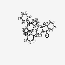 O=c1c2ccccc2sc2cc3c(cc12)-c1ccccc1C31c2ccccc2N(c2ccccc2)c2ccccc21